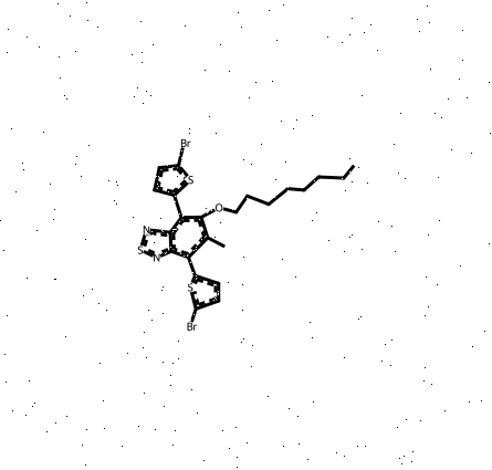 CCCCCCCCOc1c(C)c(-c2ccc(Br)s2)c2nsnc2c1-c1ccc(Br)s1